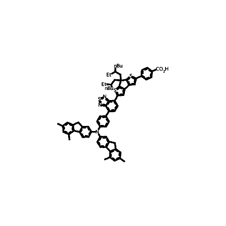 CCCCC(CC)CC1(CC(CC)CCCC)c2sc(-c3ccc(C(=O)O)cc3)cc2-c2cc(-c3ccc(-c4ccc(N(c5ccc6c(c5)Cc5cc(C)cc(C)c5-6)c5ccc6c(c5)Cc5cc(C)cc(C)c5-6)cc4)c4nsnc34)sc21